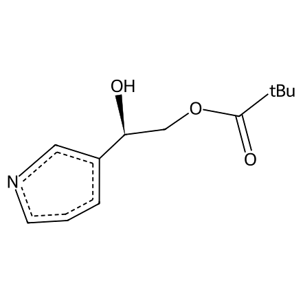 CC(C)(C)C(=O)OC[C@H](O)c1cccnc1